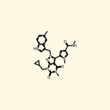 CNC(=O)c1cc(-c2c3c(=O)n(C)c(=O)n(CC4CC4)c3nn2Cc2c[nH]c3ccc(C)cc23)n(C)c1